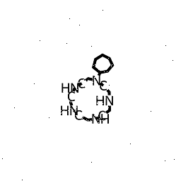 C1CCCC(N2CCNCCNCCNCCNCC2)CC1